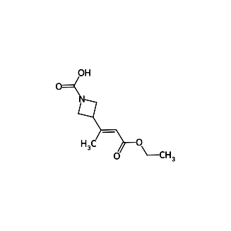 CCOC(=O)C=C(C)C1CN(C(=O)O)C1